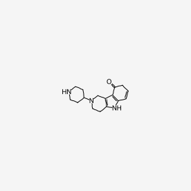 O=C1CC=Cc2[nH]c3c(c21)CN(C1CCNCC1)CC3